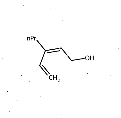 C=CC(=CCO)CCC